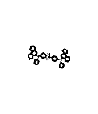 c1ccc(N(c2ccc(-c3nc4ccc(N(c5ccccc5)c5cc6ccccc6c6ccccc56)cc4o3)cc2)c2cc3ccccc3c3ccccc23)cc1